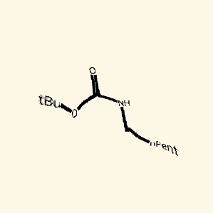 CC[CH]CCCNC(=O)OC(C)(C)C